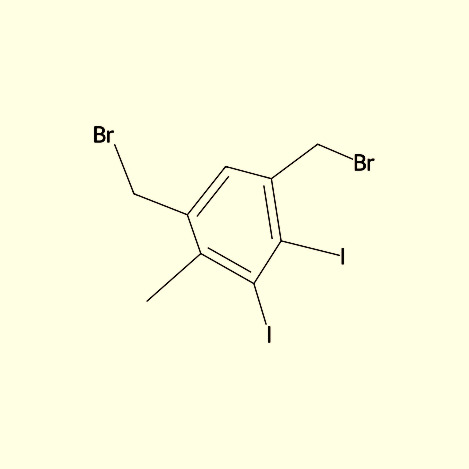 Cc1c(CBr)cc(CBr)c(I)c1I